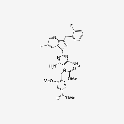 COC(=O)c1ccc(CN(C(=O)OC)c2c(N)nc(-n3nc(Cc4ccccc4F)c4ncc(F)cc43)nc2N)c(OC)c1